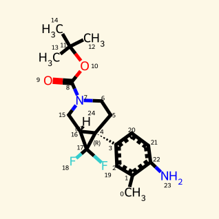 Cc1cc([C@@]23CCN(C(=O)OC(C)(C)C)C[C@@H]2C3(F)F)ccc1N